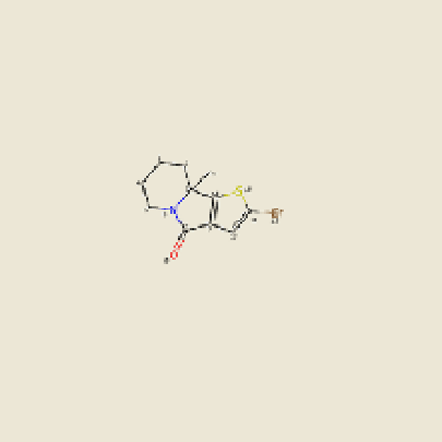 CC12CCCCN1C(=O)c1cc(Br)sc12